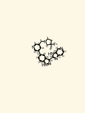 FC1(F)CCN(Cc2cncc(-c3ccc4[nH]nc(-c5nc6ccncc6[nH]5)c4c3)c2)C1